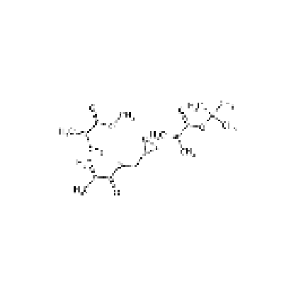 C=C(C)C(=O)OC.C=C(C)C(=O)OC(C)(C)C.C=C(C)C(=O)OCC1CO1